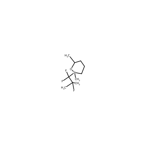 CC1CCC[Si](C)(C(F)(F)C(C)(C)F)O1